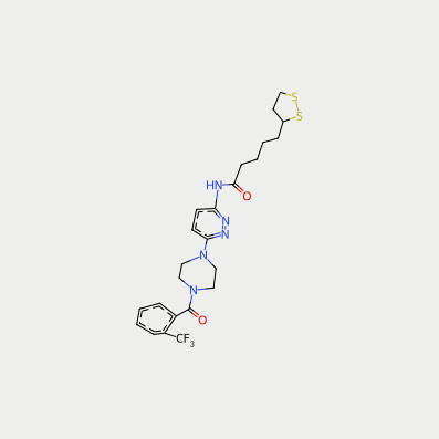 O=C(CCCCC1CCSS1)Nc1ccc(N2CCN(C(=O)c3ccccc3C(F)(F)F)CC2)nn1